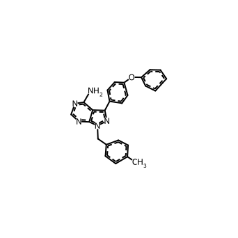 Cc1ccc(Cn2nc(-c3ccc(Oc4ccccc4)cc3)c3c(N)ncnc32)cc1